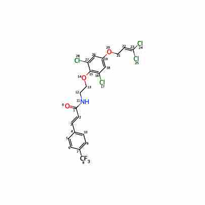 O=C(C=Cc1ccc(C(F)(F)F)cc1)NCCOc1c(Cl)cc(OCC=C(Cl)Cl)cc1Cl